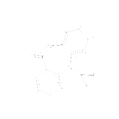 CC1=C2NC(=O)c3cccnc3N(C3CC3)C2=NCC1